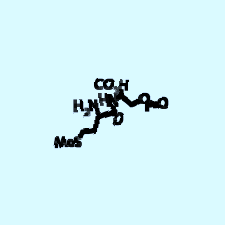 CSCC[C@@H](N)C(=O)NC(COP=O)C(=O)O